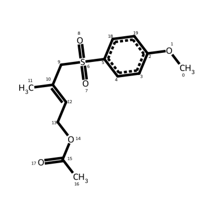 COc1ccc(S(=O)(=O)CC(C)=CCOC(C)=O)cc1